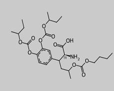 CCCCOC(=O)OC(C)CC(c1ccc(OC(=O)OC(C)CC)c(OC(=O)OC(C)CC)c1)[C@H](N)C(=O)O